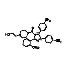 Bc1ccc([C@H]2N=C(c3ccccc3OC)N(C(=O)N3CCN(CCO)CC3)[C@H]2c2ccc(B)cc2)cc1